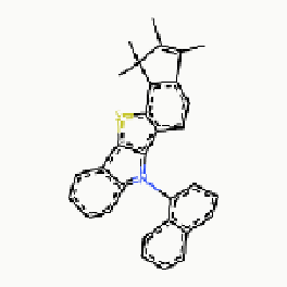 CC1=C(C)C(C)(C)c2c1ccc1c2sc2c3ccccc3n(-c3cccc4ccccc34)c12